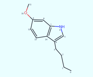 CCCCc1c[nH]c2cc(OC)ccc12